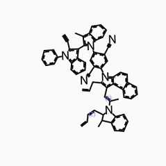 C#Cc1c(-c2c(C)c3ccccc3n2-c2cc(C#N)c(-n3c(CC=C)c(/C=C(\C)N4c5ccccc5C(C)C4/C=C\C=C)c4c5ccccc5ccc43)cc2C#N)c2ccccc2n1-c1ccccc1